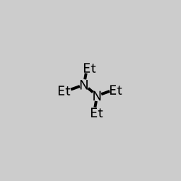 CCN(CC)N(CC)CC